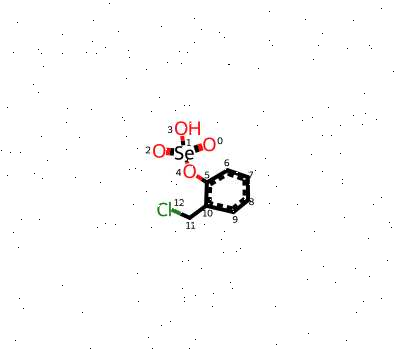 O=[Se](=O)(O)Oc1ccccc1CCl